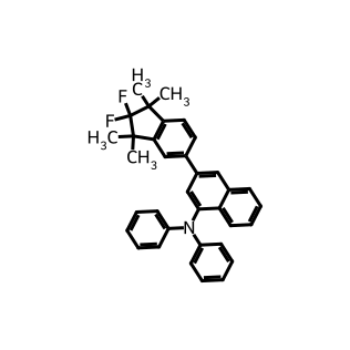 CC1(C)c2ccc(-c3cc(N(c4ccccc4)c4ccccc4)c4ccccc4c3)cc2C(C)(C)C1(F)F